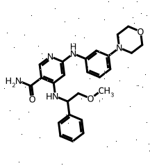 COCC(Nc1cc(Nc2cccc(N3CCOCC3)c2)ncc1C(N)=O)c1ccccc1